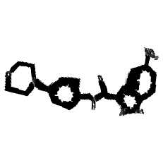 O=C(Nc1ccc(N2CCOCC2)cc1)c1n[nH]c2ccc([N+](=O)[O-])cc12